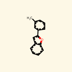 Cc1cccc(-c2cc3ccccc3o2)c1